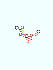 O=C(OCCOc1ccccc1)c1ccc(NS(=O)(=O)c2cc(-c3cccc(F)c3)c(Cl)s2)cc1O